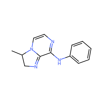 CC1CN=C2C(Nc3ccccc3)=NC=CN21